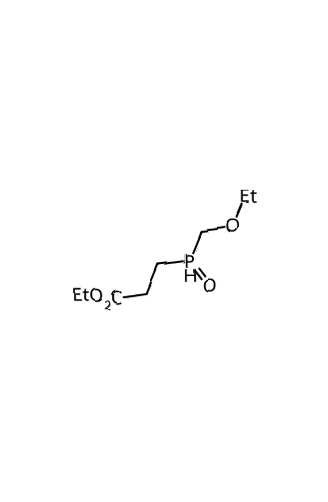 CCOC[PH](=O)CCC(=O)OCC